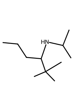 CCCC(NC(C)C)C(C)(C)C